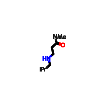 CNC(=O)CCNCC(C)C